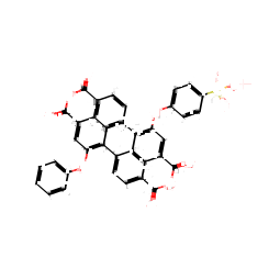 O=C1OC(=O)c2cc(Oc3ccccc3)c3c4ccc5c6c(cc(Oc7ccc(S(=O)(=O)O)cc7)c(c7ccc1c2c73)c64)C(=O)OC5=O